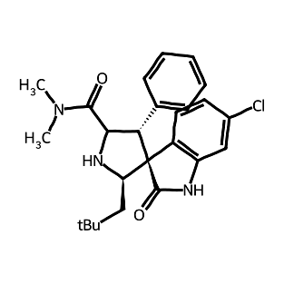 CN(C)C(=O)C1N[C@H](CC(C)(C)C)[C@]2(C(=O)Nc3cc(Cl)ccc32)[C@H]1c1ccccc1